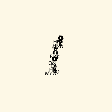 COC(=O)NC[C@H]1CN(c2cc(F)c(N3CCN(C(=O)CNC(=O)c4cc5ccccc5[nH]4)CC3)c(F)c2)C(=O)O1